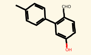 Cc1ccc(-c2cc(O)ccc2C=O)cc1